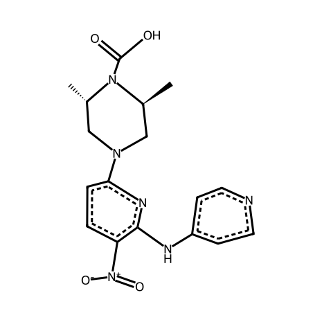 C[C@H]1CN(c2ccc([N+](=O)[O-])c(Nc3ccncc3)n2)C[C@H](C)N1C(=O)O